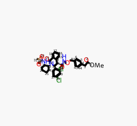 COC(=O)Cc1ccc(CONC(=O)[C@@H]2c3ccccc3C(=O)N([C@H]3CCCC[C@@H]3NS(C)(=O)=O)[C@@H]2c2ccc(Cl)cc2Cl)cc1